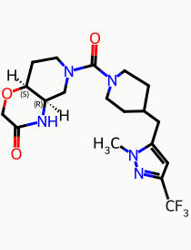 Cn1nc(C(F)(F)F)cc1CC1CCN(C(=O)N2CC[C@@H]3OCC(=O)N[C@@H]3C2)CC1